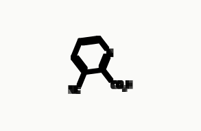 N#Cc1cccnc1C(=O)O